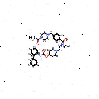 CC(=O)N1CCN(Cc2ccc(C(=O)N(C)CCN3CCC(OC(=O)Nc4ccccc4-c4ccccc4)CC3)cc2)CC1